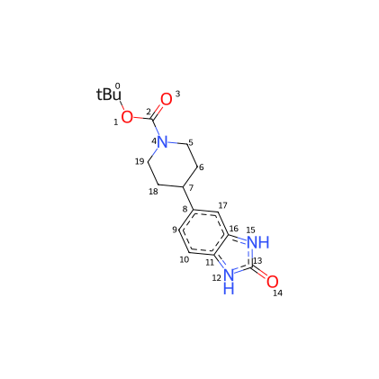 CC(C)(C)OC(=O)N1CCC(c2ccc3[nH]c(=O)[nH]c3c2)CC1